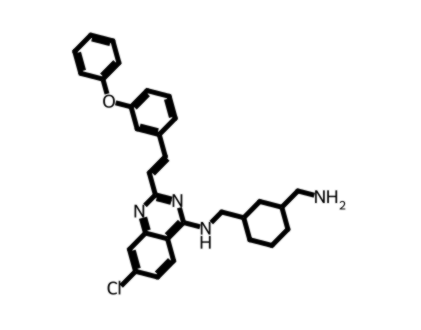 NCC1CCCC(CNc2nc(/C=C/c3cccc(Oc4ccccc4)c3)nc3cc(Cl)ccc23)C1